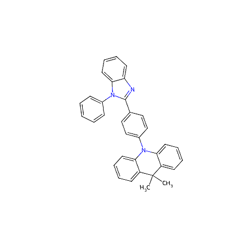 CC1(C)c2ccccc2N(c2ccc(-c3nc4ccccc4n3-c3ccccc3)cc2)c2ccccc21